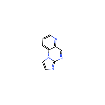 c1cnc2cnc3nccn3c2c1